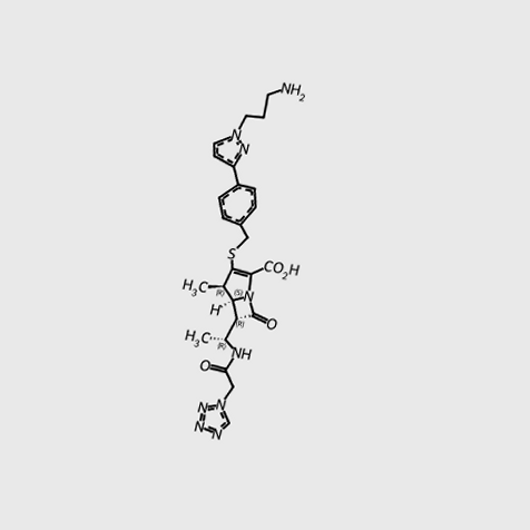 C[C@@H](NC(=O)Cn1cnnn1)[C@H]1C(=O)N2C(C(=O)O)=C(SCc3ccc(-c4ccn(CCCN)n4)cc3)[C@H](C)[C@H]12